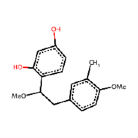 COc1ccc(CC(OC)c2ccc(O)cc2O)cc1C